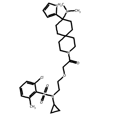 Cc1cccc(Cl)c1S(=O)(=O)N(CCOCC(=O)N1CCC2(CC1)CCC(c1cccs1)(N(C)C)CC2)C1CC1